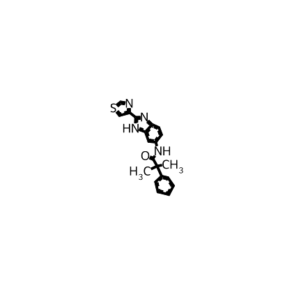 CC(C)(C(=O)Nc1ccc2nc(-c3cscn3)[nH]c2c1)c1ccccc1